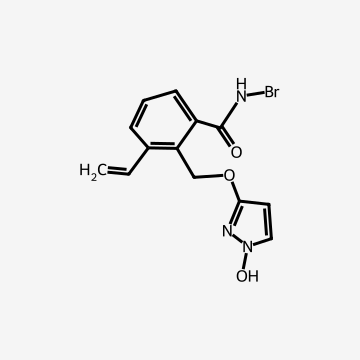 C=Cc1cccc(C(=O)NBr)c1COc1ccn(O)n1